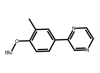 Cc1cc(-c2cn[c]cn2)ccc1OC(C)(C)C